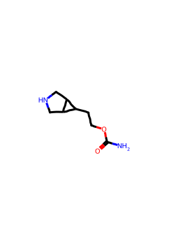 NC(=O)OCCC1C2CNCC12